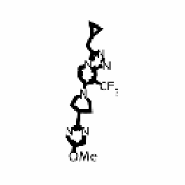 COc1cnc(C2CCN(c3ccn4c(CC5CC5)nnc4c3C(F)(F)F)CC2)nc1